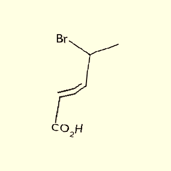 CC(Br)/C=C/C(=O)O